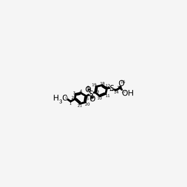 CCc1ccc(S(=O)(=O)c2ccc(SCC(=O)O)cc2)cc1